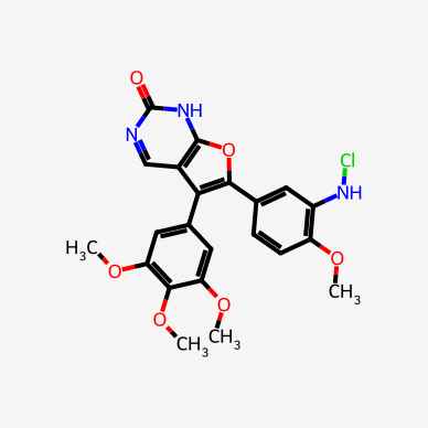 COc1ccc(-c2oc3[nH]c(=O)ncc3c2-c2cc(OC)c(OC)c(OC)c2)cc1NCl